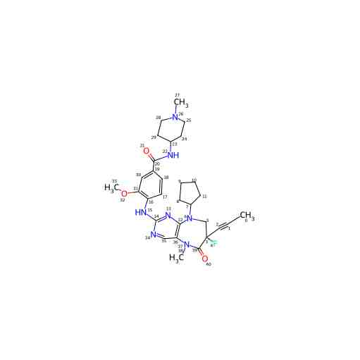 CC#C[C@@]1(F)CN(C2CCCC2)c2nc(Nc3ccc(C(=O)NC4CCN(C)CC4)cc3OC)ncc2N(C)C1=O